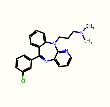 CN(C)CCCN1c2ccccc2C(c2cccc(Cl)c2)=Nc2cccnc21